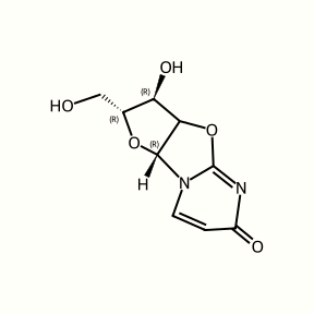 O=c1ccn2c(n1)OC1[C@H]2O[C@H](CO)[C@H]1O